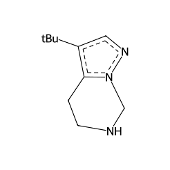 CC(C)(C)c1cnn2c1CCNC2